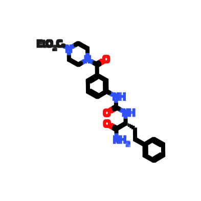 CCOC(=O)N1CCN(C(=O)c2cccc(NC(=O)N[C@H](CCc3ccccc3)C(N)=O)c2)CC1